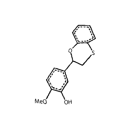 COc1ccc(C2CSc3ccccc3O2)cc1O